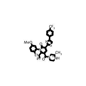 CCc1ccc(OC)cc1-n1c(CC(C)C)c(C(=O)N2CCN[C@@H](C)C2)cc(-c2nc(-c3ccc(C(F)(F)F)cc3)cs2)c1=O